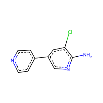 Nc1ncc(-c2ccncc2)cc1Cl